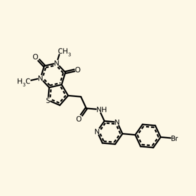 Cn1c(=O)c2c(CC(=O)Nc3nccc(-c4ccc(Br)cc4)n3)csc2n(C)c1=O